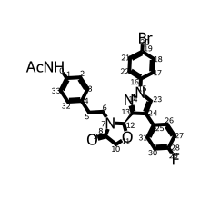 CC(=O)Nc1ccc(CCN2C(=O)CO[C@@H]2c2nn(-c3ccc(Br)cc3)cc2-c2ccc(F)cc2)cc1